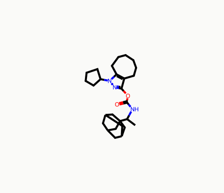 CC(NC(=O)Oc1nn(C2CCCC2)c2c1CCCCCC2)C12CC3CC(CC(C3)C1)C2